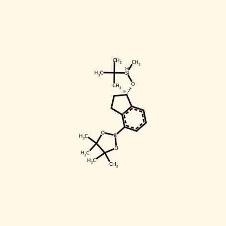 C[SiH](O[C@H]1CCc2c(B3OC(C)(C)C(C)(C)O3)cccc21)C(C)(C)C